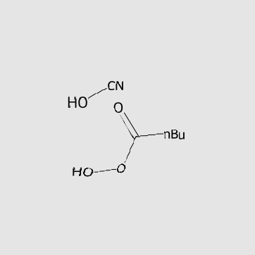 CCCCC(=O)OO.N#CO